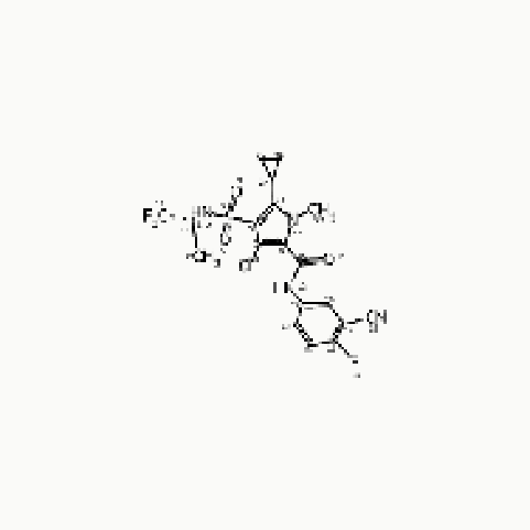 C[C@@H](NS(=O)(=O)c1c(Cl)c(C(=O)Nc2ccc(F)c(C#N)c2)n(C)c1C1CC1)C(F)(F)F